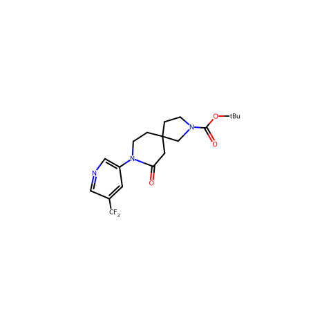 CC(C)(C)OC(=O)N1CCC2(CCN(c3cncc(C(F)(F)F)c3)C(=O)C2)C1